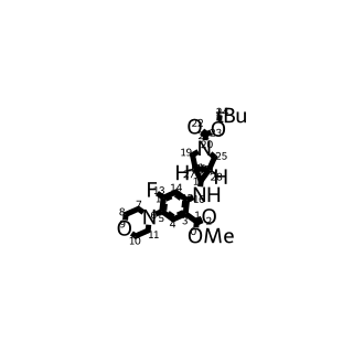 COC(=O)c1cc(N2CCOCC2)c(F)cc1NC1[C@H]2CN(C(=O)OC(C)(C)C)C[C@@H]12